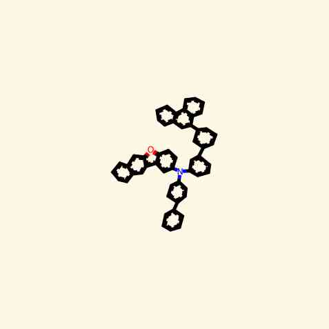 c1ccc(-c2ccc(N(c3cccc(-c4cccc(-c5cc6ccccc6c6ccccc56)c4)c3)c3ccc4oc5cc6ccccc6cc5c4c3)cc2)cc1